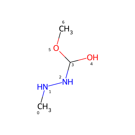 CNNC(O)OC